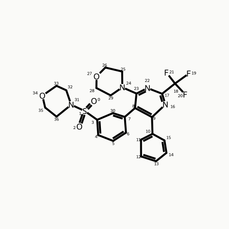 O=S(=O)(c1cccc(-c2c(-c3ccccc3)nc(C(F)(F)F)nc2N2CCOCC2)c1)N1CCOCC1